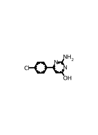 Nc1nc(O)cc(-c2ccc(Cl)cc2)n1